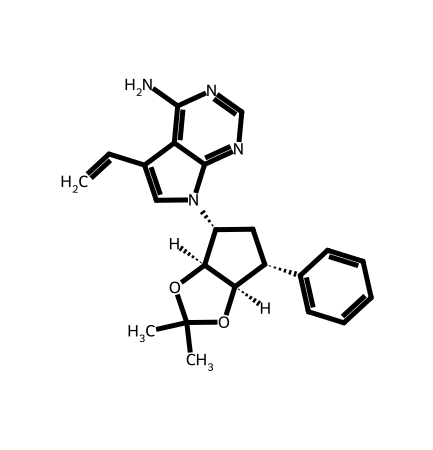 C=Cc1cn([C@@H]2C[C@H](c3ccccc3)[C@H]3OC(C)(C)O[C@H]32)c2ncnc(N)c12